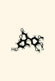 COc1cc(-c2cc(=O)oc3cc(O)cc(C)c23)cc(OC)c1OC